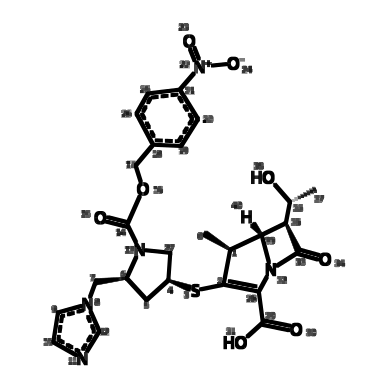 C[C@@H]1C(S[C@H]2C[C@@H](Cn3ccnc3)N(C(=O)OCc3ccc([N+](=O)[O-])cc3)C2)=C(C(=O)O)N2C(=O)[C@H]([C@@H](C)O)[C@@H]12